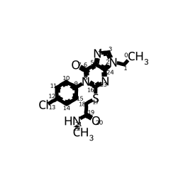 CCn1cnc2c(=O)n(-c3ccc(Cl)cc3)c(SCC(=O)NC)nc21